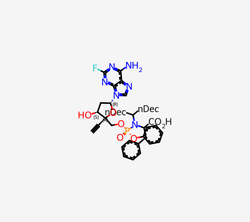 C#C[C@]1(COP(=O)(Oc2ccccc2)N(C(CCCCCCCCCC)CCCCCCCCCC)C(Cc2ccccc2)C(=O)O)O[C@@H](n2cnc3c(N)nc(F)nc32)C[C@@H]1O